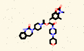 C=C(O[C@H](Cc1cc(C)c2c(c1)oc(=O)n2C)C(=O)N1CCN(C2CCOCC2)CC1)N1CCC(N2CCc3ccccc3NC2=O)CC1